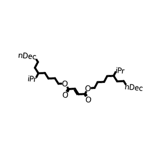 CCCCCCCCCCCCC(CCCCOC(=O)C=CC(=O)OCCCCC(CCCCCCCCCCCC)C(C)C)C(C)C